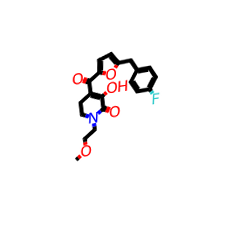 COCCN1CCC(C(=O)c2ccc(Cc3ccc(F)cc3)o2)=C(O)C1=O